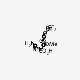 COc1cc(C=C(CCc2ccc(N)cc2N)C(=O)O)ccc1OC(=O)c1ccc(OCCCC(F)(F)C(F)(F)F)cc1